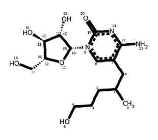 CC(CCCO)Cc1cn([C@@H]2O[C@H](CO)[C@@H](O)[C@@H]2O)c(=O)nc1N